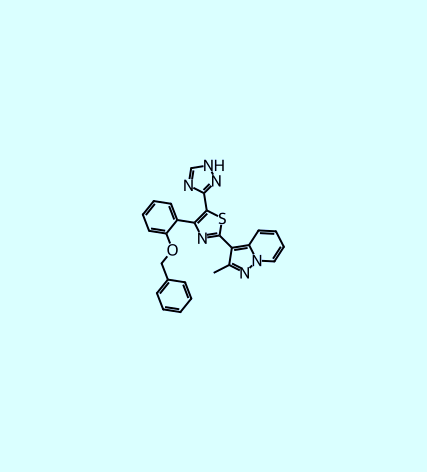 Cc1nn2ccccc2c1-c1nc(-c2ccccc2OCc2ccccc2)c(-c2nc[nH]n2)s1